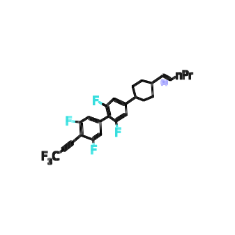 CCC/C=C/C1CCC(c2cc(F)c(-c3cc(F)c(C#CC(F)(F)F)c(F)c3)c(F)c2)CC1